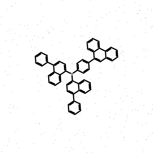 c1ccc(-c2ccc(N(c3ccc(-c4cc5ccccc5c5ccccc45)cc3)c3ccc(-c4ccccc4)c4ccccc34)c3ccccc23)cc1